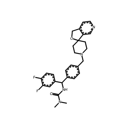 CN(C)C(=O)NC(c1ccc(CN2CCC3(CC2)OCc2ccncc23)cc1)c1ccc(F)c(F)c1